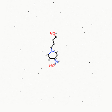 OCCCCN1CCC(=NO)CC1